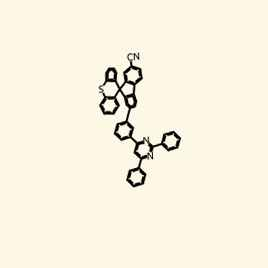 N#Cc1ccc2c(c1)C1(c3ccccc3Sc3ccccc31)c1cc(-c3cccc(-c4cc(-c5ccccc5)nc(-c5ccccc5)n4)c3)ccc1-2